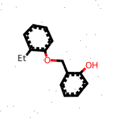 CCc1ccccc1OCc1ccccc1O